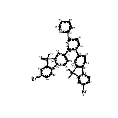 CC1(C)c2cc(Br)ccc2-c2ccc(-c3ccc(-c4ccccn4)nc3-c3ccc4c(c3)C(C)(C)c3cc(Br)ccc3-4)cc21